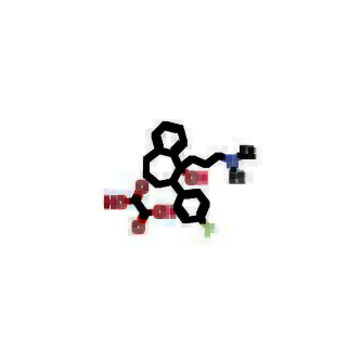 CCN(CC)CCCC1(O)c2ccccc2CCCC1c1ccc(F)cc1.O=C(O)C(=O)O